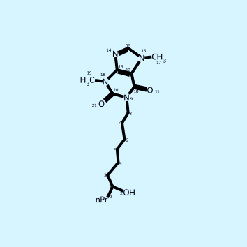 CCCC(O)CCCCCCn1c(=O)c2c(ncn2C)n(C)c1=O